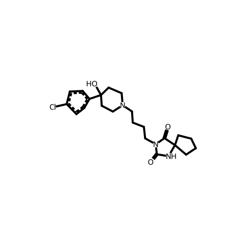 O=C1NC2(CCCC2)C(=O)N1CCCCN1CCC(O)(c2ccc(Cl)cc2)CC1